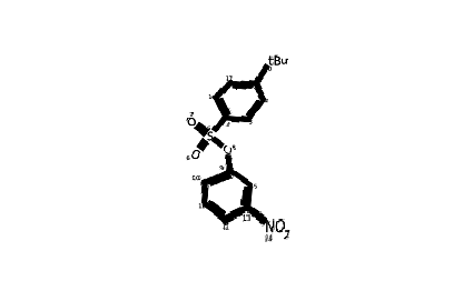 CC(C)(C)c1ccc(S(=O)(=O)Oc2cccc([N+](=O)[O-])c2)cc1